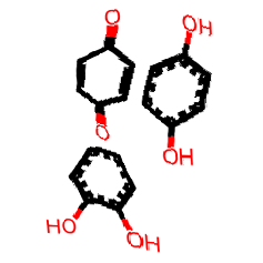 O=C1C=CC(=O)C=C1.Oc1ccc(O)cc1.Oc1ccccc1O